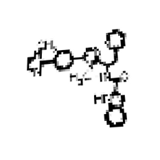 Cn1ccnc1-c1ccc(-c2cnc(C(Cc3ccccn3)NC(=O)c3cc4ccccc4[nH]3)n2C)cc1